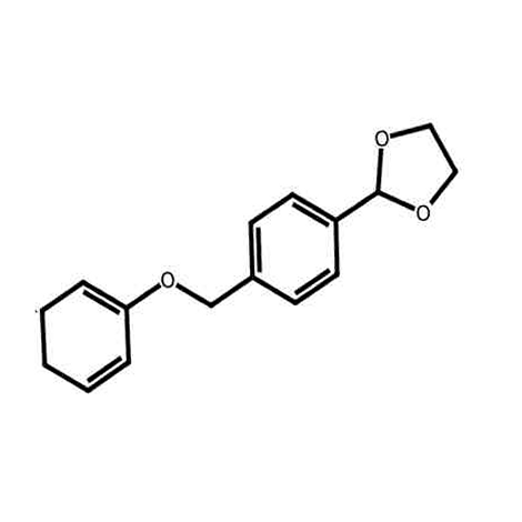 [CH]1C=C(OCc2ccc(C3OCCO3)cc2)C=CC1